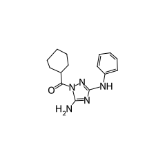 Nc1nc(Nc2ccccc2)nn1C(=O)C1CCCCC1